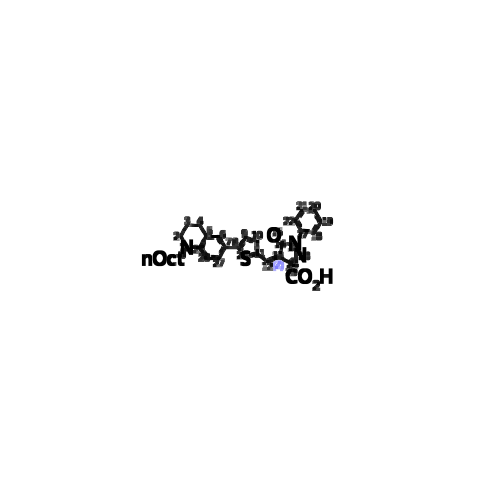 CCCCCCCCN1CCCc2cc(-c3ccc(/C=C4\C(=O)N(c5ccccc5)N=C4C(=O)O)s3)ccc21